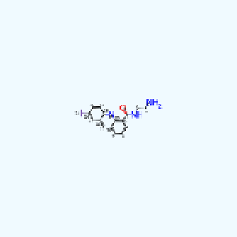 NCCNC(=O)c1cccc2cc3cc(I)ccc3nc12